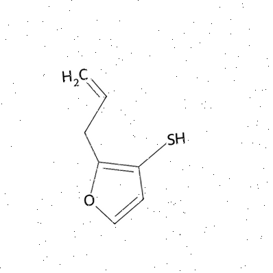 C=CCc1occc1S